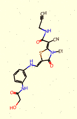 C#CCNC(=O)C(C#N)=c1sc(=CNc2cccc(NC(=O)CO)c2)c(=O)n1CC